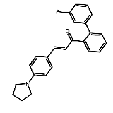 O=C(/C=C/c1ccc(N2CCCC2)cc1)c1ccccc1-c1cccc(F)c1